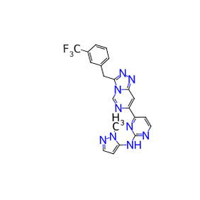 Cn1nccc1Nc1nccc(-c2cc3nnc(Cc4cccc(C(F)(F)F)c4)n3cn2)n1